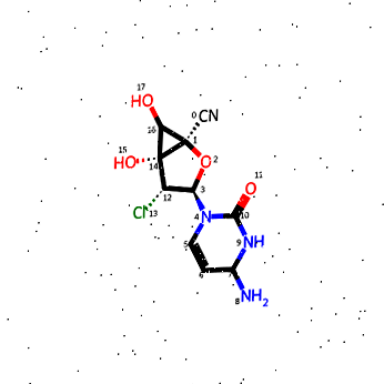 N#C[C@]12O[C@@H](N3C=CC(N)NC3=O)[C@H](Cl)[C@@]1(O)C2O